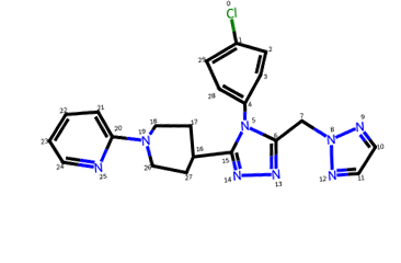 Clc1ccc(-n2c(Cn3nccn3)nnc2C2CCN(c3ccccn3)CC2)cc1